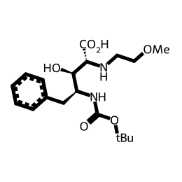 COCCN[C@@H](C(=O)O)[C@H](O)[C@H](Cc1ccccc1)NC(=O)OC(C)(C)C